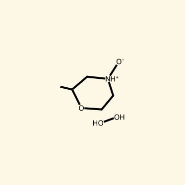 CC1C[NH+]([O-])CCO1.OO